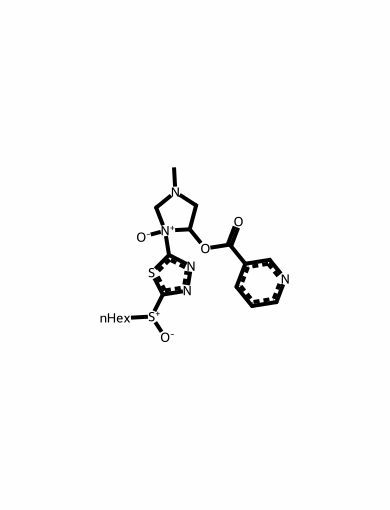 CCCCCC[S+]([O-])c1nnc([N+]2([O-])CN(C)CC2OC(=O)c2cccnc2)s1